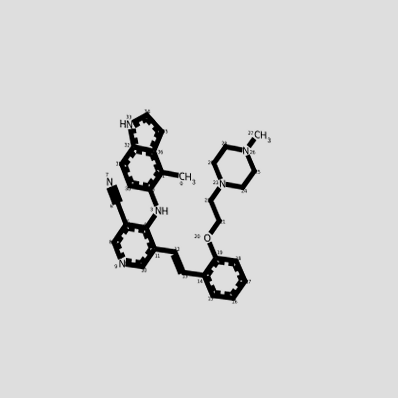 Cc1c(Nc2c(C#N)cncc2C=Cc2ccccc2OCCN2CCN(C)CC2)ccc2[nH]ccc12